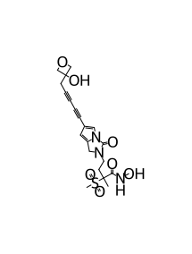 CC(CCN1Cc2cc(C#CC#CCC3(O)COC3)cn2C1=O)(C(=O)NO)S(C)(=O)=O